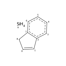 C1=Cc2ccccc2C1.[SiH4]